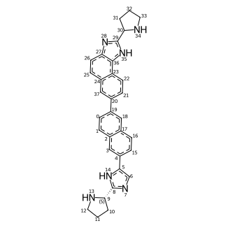 c1cc2cc(-c3cnc([C@@H]4CCCN4)[nH]3)ccc2cc1-c1ccc2c(ccc3nc(C4CCCN4)[nH]c32)c1